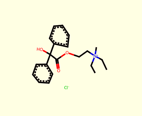 CC[N+](C)(CC)CCOC(=O)C(O)(c1ccccc1)c1ccccc1.[Cl-]